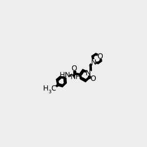 Cc1ccc(NNC(=O)c2ccc(=O)n(CCN3CCOCC3)c2)cc1